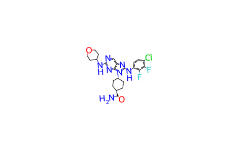 NC(=O)[C@H]1CC[C@H](n2c(Nc3ccc(Cl)c(F)c3F)nc3cnc(NC4CCOCC4)nc32)CC1